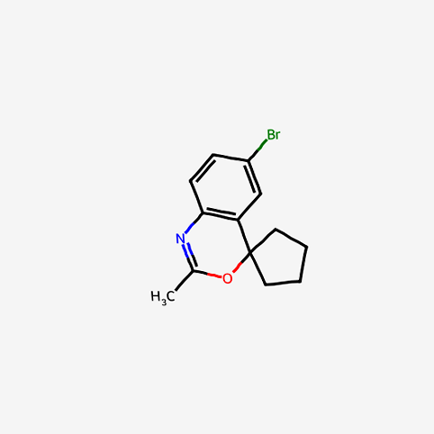 CC1=Nc2ccc(Br)cc2C2(CCCC2)O1